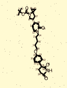 CC(C)(C)OC(=O)N1C[C@@H](c2ccn(CCCCCOc3ccc(C4CCC(=O)NC4=O)cc3)c(=O)c2)CC12CC2